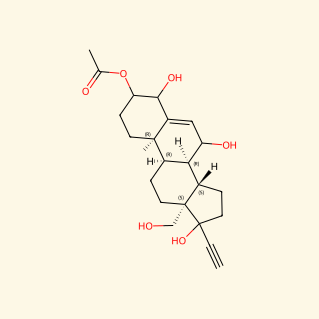 C#CC1(O)CC[C@H]2[C@@H]3C(O)C=C4C(O)C(OC(C)=O)CC[C@]4(C)[C@@H]3CC[C@@]21CO